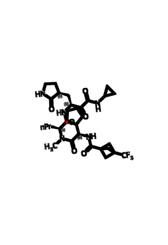 CCC[C@@H](C(=O)N[C@@H](C[C@@H]1CCNC1=O)C(=O)C(=O)NC1CC1)N(C)C(=O)[C@H](NC(=O)C12CC(C(F)(F)F)(C1)C2)C1CCCC1